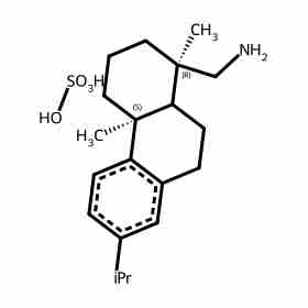 CC(C)c1ccc2c(c1)CCC1[C@](C)(CN)CCC[C@]21C.O=S(=O)(O)O